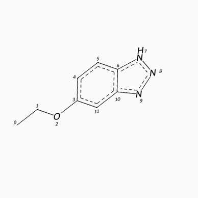 CCOc1ccc2[nH]nnc2c1